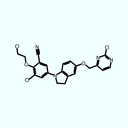 N#Cc1cc(N2CCc3cc(OCc4ccnc(Cl)n4)ccc32)cc(Cl)c1OCCCl